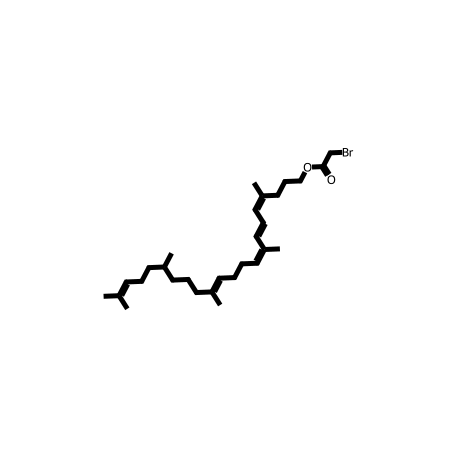 CC(C)=CCCC(C)CCCC(C)=CCCC=C(C)C=CC=C(C)CCCOC(=O)CBr